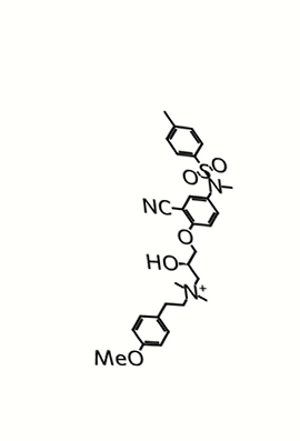 COc1ccc(CC[N+](C)(C)C[C@@H](O)COc2ccc(N(C)S(=O)(=O)c3ccc(C)cc3)cc2C#N)cc1